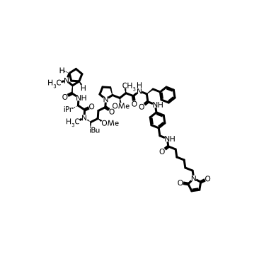 CC[C@H](C)[C@@H]([C@@H](CC(=O)N1CCC[C@H]1[C@H](OC)[C@@H](C)C(=O)N[C@@H](Cc1ccccc1)C(=O)Nc1ccc(CNC(=O)CCCCCN2C(=O)C=CC2=O)cc1)OC)N(C)C(=O)[C@@H](NC(=O)[C@@H]1[C@H]2CC[C@@H](C2)N1C)C(C)C